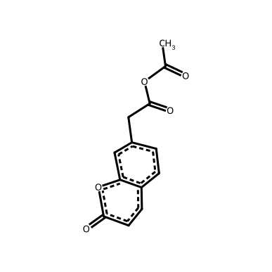 CC(=O)OC(=O)Cc1ccc2ccc(=O)oc2c1